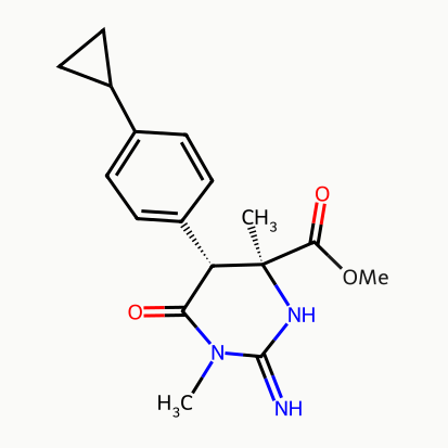 COC(=O)[C@@]1(C)NC(=N)N(C)C(=O)[C@@H]1c1ccc(C2CC2)cc1